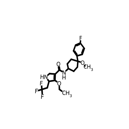 CCOC1=C(C(=O)NC2CCC(OC)(c3ccc(F)cc3)CC2)CNC1CC(F)(F)F